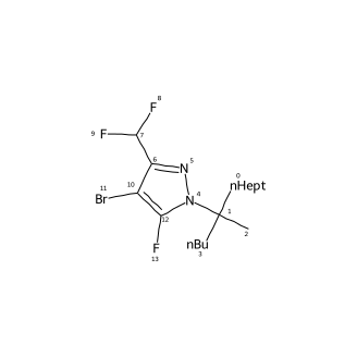 CCCCCCCC(C)(CCCC)n1nc(C(F)F)c(Br)c1F